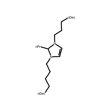 CCCCCCCCCCCCCCN1C=CN(CCCCCCCCCCCCC)C1CCC